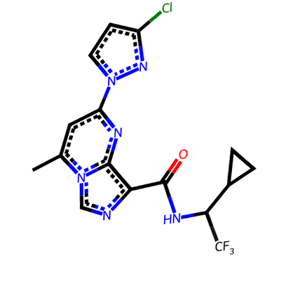 Cc1cc(-n2ccc(Cl)n2)nc2c(C(=O)NC(C3CC3)C(F)(F)F)ncn12